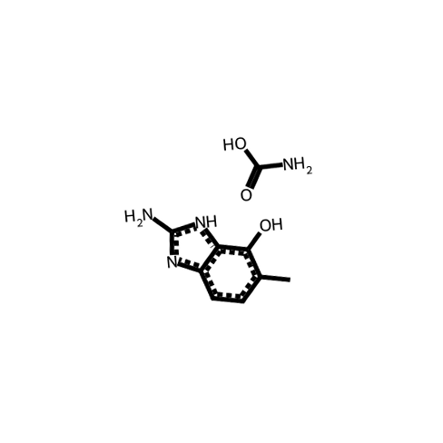 Cc1ccc2nc(N)[nH]c2c1O.NC(=O)O